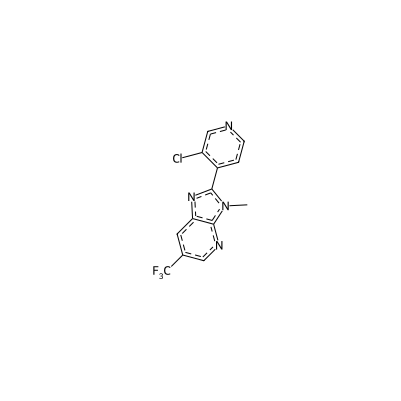 Cn1c(-c2ccncc2Cl)nc2cc(C(F)(F)F)cnc21